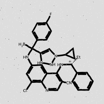 BC(Nc1cc(Cl)c2ncc(C#N)c(N[C@H](CC)c3ccccc3)c2c1)(C1=CN(C2CC2)NN1)c1ccc(F)cc1